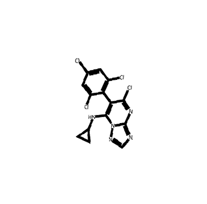 Clc1cc(Cl)c(-c2c(Cl)nc3ncnn3c2NC2CC2)c(Cl)c1